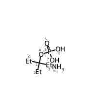 CCC(CC)(CC)OP(=O)(O)O.N